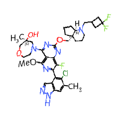 COc1nc(-c2c(Cl)c(C)cc3[nH]ncc23)c(F)c2nc(OC[C@]34CCC[C@H]3N(CC3CC(F)(F)C3)CCC4)nc(N3CCOC[C@@](C)(O)C3)c12